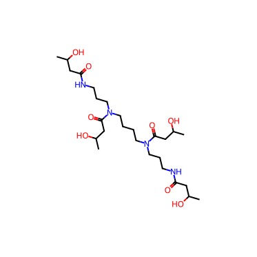 CC(O)CC(=O)NCCCN(CCCCN(CCCNC(=O)CC(C)O)C(=O)CC(C)O)C(=O)CC(C)O